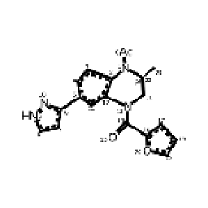 CC(=O)N1c2ccc(-c3cc[nH]n3)cc2N(C(=O)c2ccco2)C[C@@H]1C